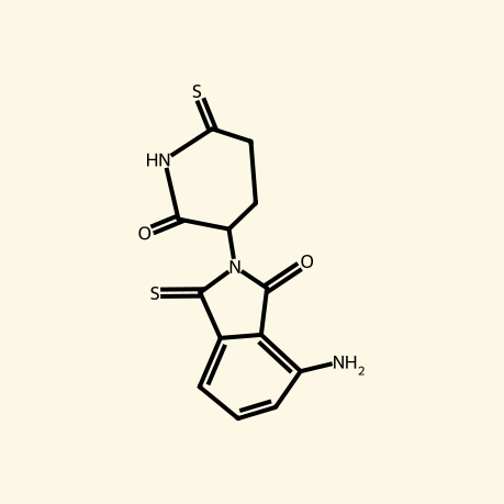 Nc1cccc2c1C(=O)N(C1CCC(=S)NC1=O)C2=S